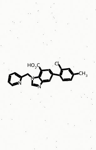 Cc1ccc(-c2cc(C(=O)O)c3c(c2)ncn3Cc2ccccn2)c(Cl)c1